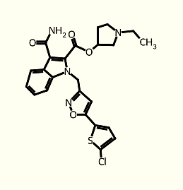 CCN1CCC(OC(=O)c2c(C(N)=O)c3ccccc3n2Cc2cc(-c3ccc(Cl)s3)on2)C1